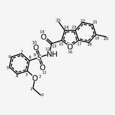 CCOc1ccccc1S(=O)(=O)NC(=O)c1oc2cc(C)ccc2c1C